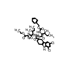 CCOC(=O)c1noc([C@@H](NC(=O)[C@]2(NC(=O)[C@@H](NC(=O)OCc3ccccc3)C(C)CC)CCc3[nH]c4c(Cl)cc(Cl)cc4c3C2)C(C)CC)n1